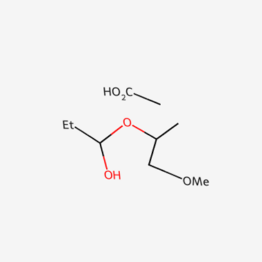 CC(=O)O.CCC(O)OC(C)COC